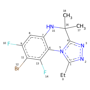 CCc1nnc2n1-c1c(cc(F)c(Br)c1F)NC2(C)C